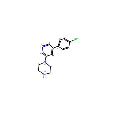 Clc1ccc(-c2cncc(N3CCNCC3)c2)cc1